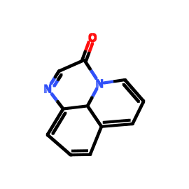 O=C1C=NC2=CC=CC3=CC=CN1C32